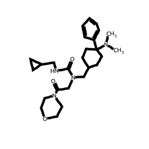 CN(C)C1(c2ccccc2)CCC(CN(CC(=O)N2CCOCC2)C(=O)NCC2CC2)CC1